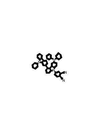 N#Cc1ccc(-n2c3ccc(N(c4ccccc4)c4ccccc4)cc3c3c(-c4ccc5c6ccccc6n(-c6ccccc6)c5c4)cccc32)cc1C#N